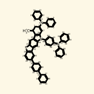 CC1CC(N(c2ccccc2)c2ccccc2)=Cc2c1c1cc3sc4ccc(-c5ccc(-c6ccccc6)cc5)cc4c3cc1n2-c1ccc(N(c2ccccc2)c2ccccc2)cc1